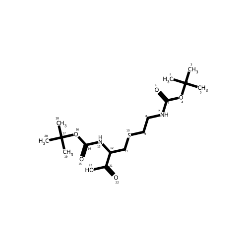 CC(C)(C)OC(=O)NCCSCC(NC(=O)OC(C)(C)C)C(=O)O